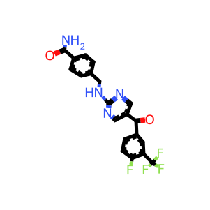 NC(=O)c1ccc(CNc2ncc(C(=O)c3ccc(F)c(C(F)(F)F)c3)cn2)cc1